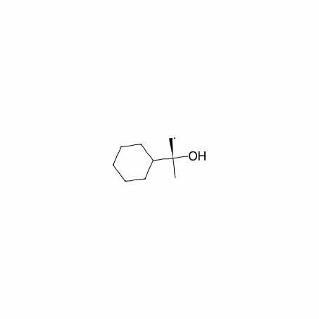 [CH2][C@](C)(O)C1CCCCC1